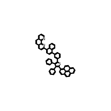 c1ccc(-c2c(-c3cccc(-c4ccc(-c5ccc6ccc7cccnc7c6n5)c5ccccc45)c3)sc(-c3ccc4ccc5cccc6ccc3c4c56)c2-c2ccccc2)cc1